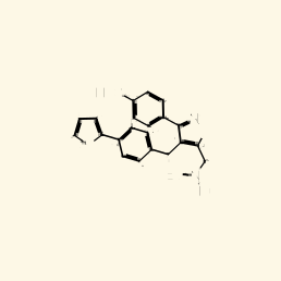 CCN(CC)Cc1onc(-c2ccc(C)cc2)c1Cc1ccc(-c2cccs2)cc1